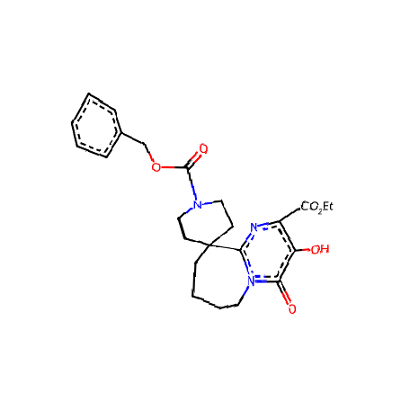 CCOC(=O)c1nc2n(c(=O)c1O)CCCCC21CCN(C(=O)OCc2ccccc2)CC1